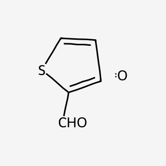 O=Cc1cccs1.[O]